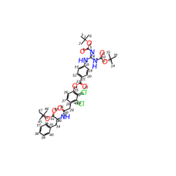 CC(C)(C)OC(=O)/N=C(/NC(=O)OC(C)(C)C)Nc1ccc(C(=O)Oc2ccc(CC(=O)N[C@@H](Cc3ccccc3)C(=O)OC(C)(C)C)c(Cl)c2Cl)cc1